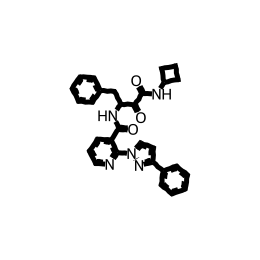 O=C(NC1CCC1)C(=O)C(Cc1ccccc1)NC(=O)c1cccnc1-n1ccc(-c2ccccc2)n1